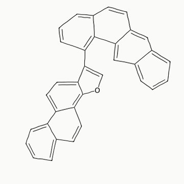 c1ccc2cc3c(ccc4cccc(-c5coc6c5ccc5c7ccccc7ccc56)c43)cc2c1